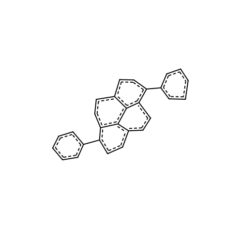 c1ccc(-c2ccc3ccc4c(-c5ccccc5)ccc5ccc2c3c54)cc1